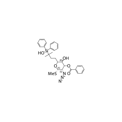 CS[C@@H]1OC(CCC(C)(C)[Si](O)(c2ccccc2)c2ccccc2)[C@@H](O)C(OC(=O)c2ccccc2)[C@@H]1N=[N+]=[N-]